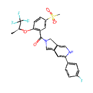 C[C@H](Oc1ccc(S(C)(=O)=O)cc1C(=O)N1C=C2C=C(c3ccc(F)cc3)NC=C2C1)C(F)(F)F